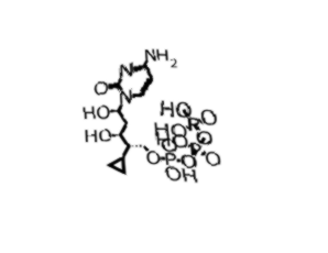 Nc1ccn([C@H](O)C[C@H](O)[C@H](COP(=O)(O)OP(=O)(O)OP(=O)(O)O)C2CC2)c(=O)n1